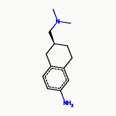 CN(C)C[C@H]1CCc2cc(N)ccc2C1